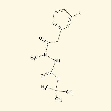 CN(NC(=O)OC(C)(C)C)C(=O)Cc1cccc(I)c1